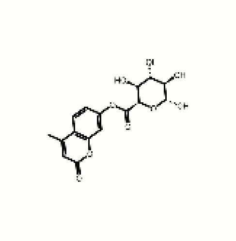 Cc1cc(=O)oc2cc(OC(=O)[C@@H]3O[C@@H](O)[C@H](O)[C@@H](O)[C@@H]3O)ccc12